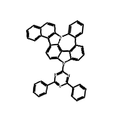 c1ccc(-c2nc(-c3ccccc3)nc(-n3c4cccc5c6ccccc6n6c7ccc8ccccc8c7c7ccc3c(c54)c76)n2)cc1